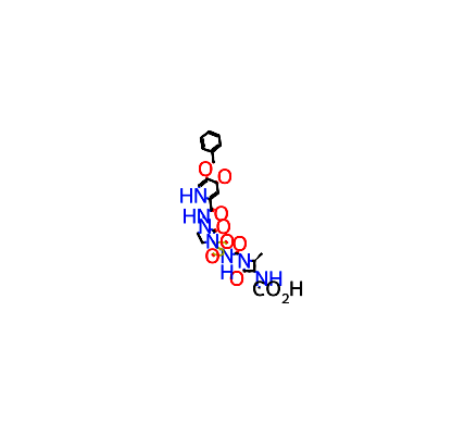 C[C@H]1C(NC(=O)O)C(=O)N1C(=O)NS(=O)(=O)N1CCN(NC(=O)c2cc(=O)c(OCc3ccccc3)c[nH]2)C1=O